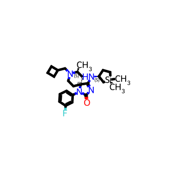 C[C@H]1C[C@]2(CCN1CC1CCC1)C(N[C@H]1CC[Si](C)(C)C1)=NC(=O)N2c1cccc(F)c1